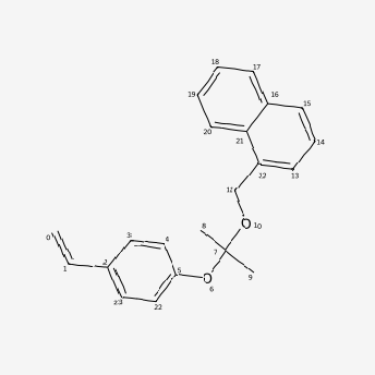 C=Cc1ccc(OC(C)(C)OCc2cccc3ccccc23)cc1